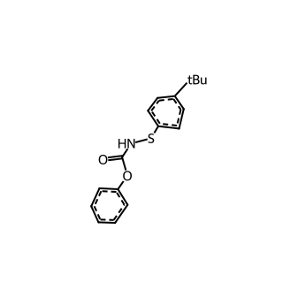 CC(C)(C)c1ccc(SNC(=O)Oc2ccccc2)cc1